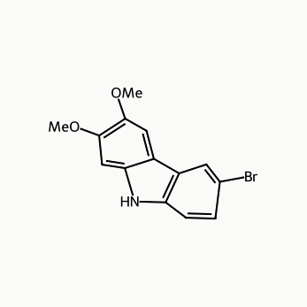 COc1cc2[nH]c3ccc(Br)cc3c2cc1OC